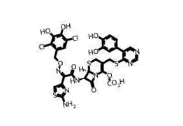 Nc1nc(/C(=N/OCc2cc(Cl)c(O)c(O)c2Cl)C(=O)N[C@@H]2C(=O)N3C(OC(=O)O)=C(CSc4ncncc4-c4ccc(O)c(O)c4)CS[C@H]23)cs1